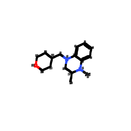 CC(=O)N1c2ccccc2N(CC2CCOCC2)C[C@@H]1C